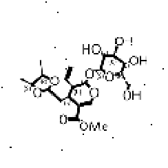 C=C[C@H]1[C@H](O[C@@H]2O[C@H](CO)[C@@H](O)[C@H](O)[C@H]2O)OC=C(C(=O)OC)[C@H]1CC1O[C@@H](C)[C@@H](C)O1